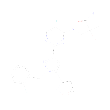 CC(O)(CNc1nc(-c2cc(-c3ccon3)n(Cc3ccccc3F)n2)ncc1F)C(N)=O